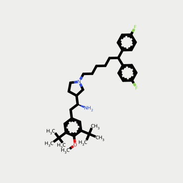 COc1c(C(C)(C)C)cc(C[C@H](N)C2CCN(CCCCCC(c3ccc(F)cc3)c3ccc(F)cc3)C2)cc1C(C)(C)C